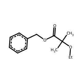 CCOC(C)(C)C(=O)OCc1ccccc1